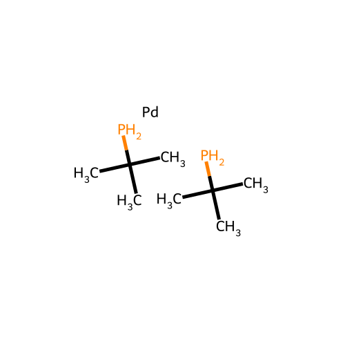 CC(C)(C)P.CC(C)(C)P.[Pd]